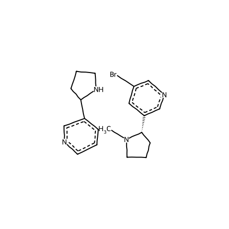 CN1CCC[C@H]1c1cncc(Br)c1.c1cncc(C2CCCN2)c1